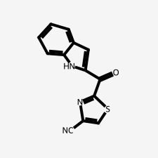 N#Cc1csc(C(=O)c2cc3ccccc3[nH]2)n1